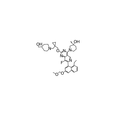 CCc1cccc2cc(OCOC)cc(-c3ncc4c(N5CCC[C@@](C)(O)C5)nc(OCC5(CN6CCC(CO)CC6)CC5)nc4c3F)c12